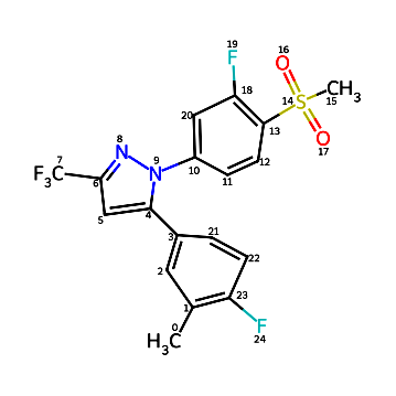 Cc1cc(-c2cc(C(F)(F)F)nn2-c2ccc(S(C)(=O)=O)c(F)c2)ccc1F